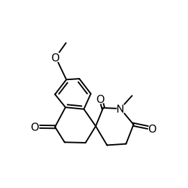 COc1ccc2c(c1)C(=O)CCC21CCC(=O)N(C)C1=O